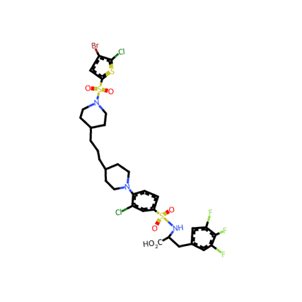 O=C(O)C(Cc1cc(F)c(F)c(F)c1)NS(=O)(=O)c1ccc(N2CCC(CCCC3CCN(S(=O)(=O)c4cc(Br)c(Cl)s4)CC3)CC2)c(Cl)c1